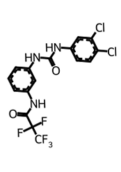 O=C(Nc1cccc(NC(=O)C(F)(F)C(F)(F)F)c1)Nc1ccc(Cl)c(Cl)c1